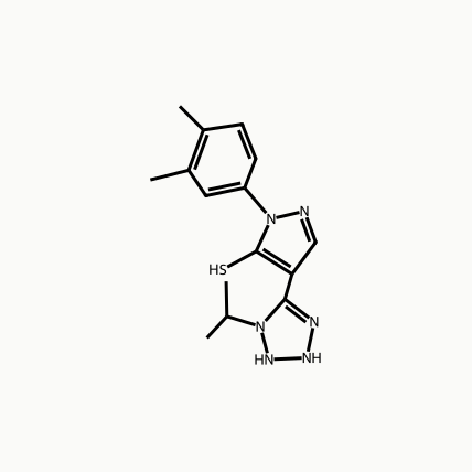 Cc1ccc(-n2ncc(C3=NNNN3C(C)C)c2S)cc1C